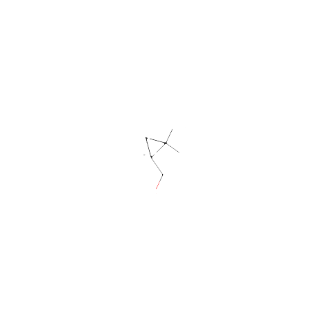 CC1(C)C[C@]1(O)CO